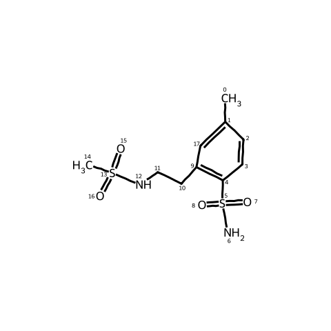 Cc1ccc(S(N)(=O)=O)c(CCNS(C)(=O)=O)c1